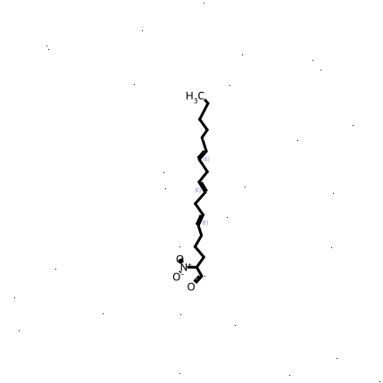 CCCCC/C=C/C/C=C/C/C=C/CCCC([C]=O)[N+](=O)[O-]